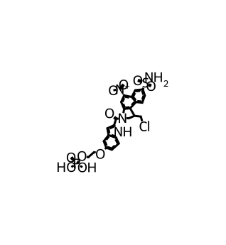 NS(=O)(=O)c1ccc2c3c(cc([N+](=O)[O-])c2c1)N(C(=O)c1cc2cc(OCCOP(=O)(O)O)ccc2[nH]1)CC3CCl